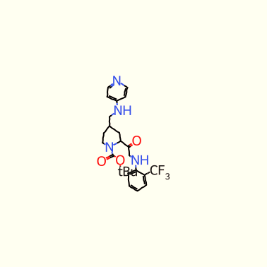 CC(C)(C)OC(=O)N1CCC(CNc2ccncc2)CC1C(=O)CNc1ccccc1C(F)(F)F